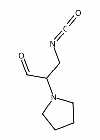 O=C=NCC(C=O)N1CCCC1